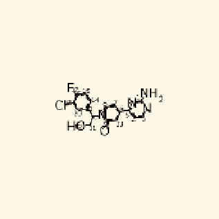 Nc1nccc(-c2ccn(C(CO)c3ccc(F)c(Cl)c3)c(=O)c2)n1